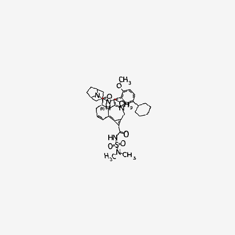 CCNC1CC2CCC(C1)N2C(=O)[C@@H]1CC=CC2=C3C(=C3C(=O)NS(=O)(=O)N(C)C)Cn3c(cc4c(OC)ccc(C5CCCCC5)c43)C21